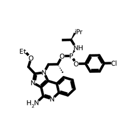 CCOCc1nc2c(N)nc3ccccc3c2n1C[C@@H](C)O[P@@](N[C@@H](C)C(C)C)Oc1ccc(Cl)cc1